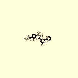 C[C@H](NC(=O)c1cc(=O)[nH]c(-c2ncccn2)n1)c1ccc(C(C)(C)C(F)(F)F)cc1